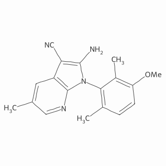 COc1ccc(C)c(-n2c(N)c(C#N)c3cc(C)cnc32)c1C